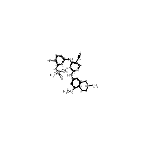 COc1cc(Nc2ncc(C#N)c(Nc3ccc(F)c(N=S(C)(C)=O)n3)n2)cc2c1CCN(C)C2